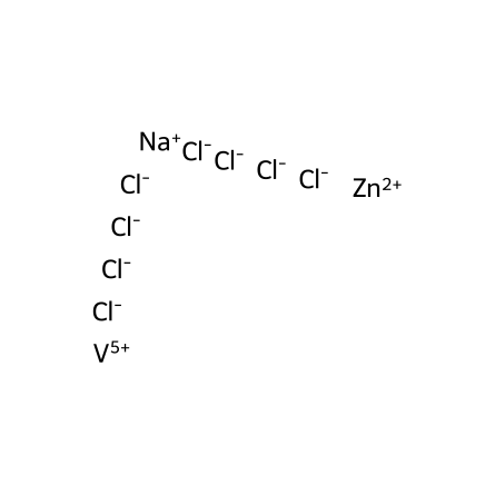 [Cl-].[Cl-].[Cl-].[Cl-].[Cl-].[Cl-].[Cl-].[Cl-].[Na+].[V+5].[Zn+2]